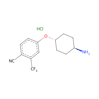 Cl.N#Cc1ccc(O[C@H]2CC[C@H](N)CC2)cc1C(F)(F)F